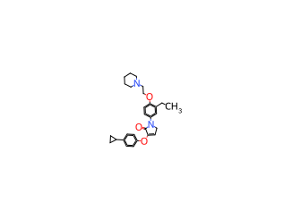 CCc1cc(N2CC=C(Oc3ccc(C4CC4)cc3)C2=O)ccc1OCCN1CCCCC1